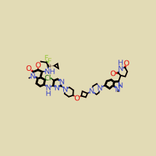 Cn1nc(C2CCC(=O)NC2=O)c2ccc(N3CCN(C4CC(OC5CCN(c6ncc(Cl)c(Nc7ccc8c(c7)c7c(c(=O)n8C)OCC(F)(F)[C@H](C8CC8)N7)n6)CC5)C4)CC3)cc21